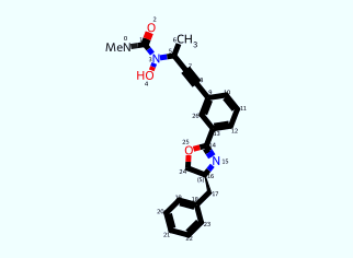 CNC(=O)N(O)C(C)C#Cc1cccc(C2=N[C@@H](Cc3ccccc3)CO2)c1